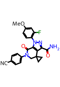 COc1ccc(-n2nc(C(N)=O)c3c2C(=O)N(c2ccc(C#N)cc2)CC32CC2)c(F)c1